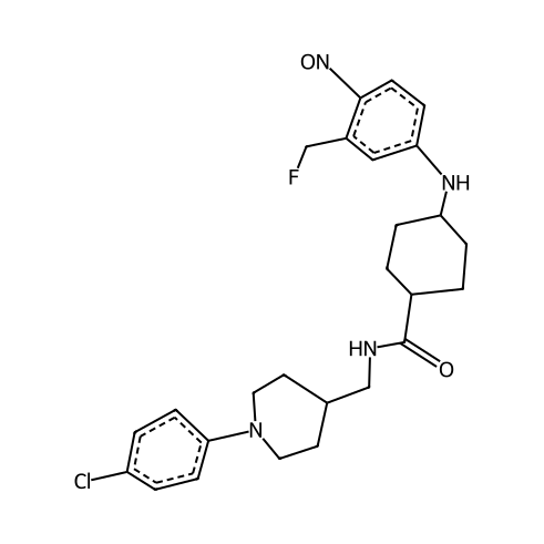 O=Nc1ccc(NC2CCC(C(=O)NCC3CCN(c4ccc(Cl)cc4)CC3)CC2)cc1CF